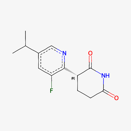 CC(C)c1cnc([C@H]2CCC(=O)NC2=O)c(F)c1